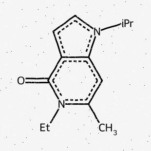 CCn1c(C)cc2c(ccn2C(C)C)c1=O